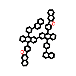 c1cc(-c2ccc3ccccc3c2)cc(-c2c3ccccc3c(-c3ccc4c(c3)oc3cc5ccccc5cc34)c3ccc(-c4ccc5c(-c6ccc7c(c6)oc6cc8ccccc8cc67)c6ccccc6c(-c6ccc(-c7cccc8ccccc78)cc6)c5c4)cc23)c1